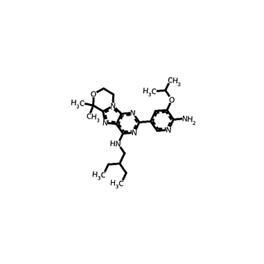 CCC(CC)CNc1nc(-c2cnc(N)c(OC(C)C)c2)nc2c1nc1n2CCOC1(C)C